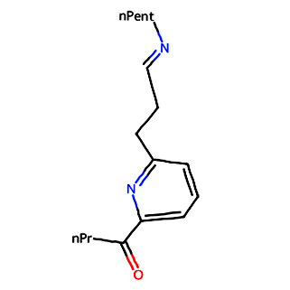 CCCCCN=CCCc1cccc(C(=O)CCC)n1